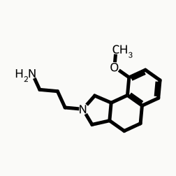 COc1cccc2c1C1CN(CCCN)CC1CC2